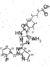 C[C@@]1(c2ccc(CCCC(=O)O)cc2)C(=O)Nc2nc(-c3nn(Cc4ccccc4F)c4ncccc34)nc(N)c21